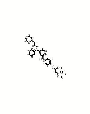 CN(C)CC(O)COc1ccc(Nc2nccc(N(CCCN3CCOCC3)c3ccccc3)n2)cc1